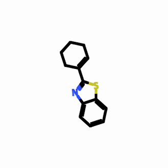 C1=C(c2nc3ccccc3s2)CCCC1